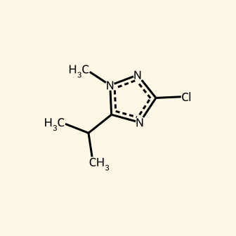 CC(C)c1nc(Cl)nn1C